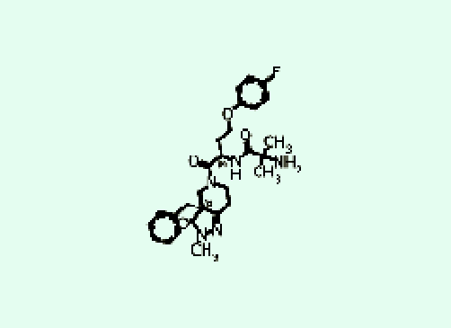 CN1N=C2CCN(C(=O)[C@@H](CCOc3ccc(F)cc3)NC(=O)C(C)(C)N)C[C@@]2(Cc2ccccc2)C1=O